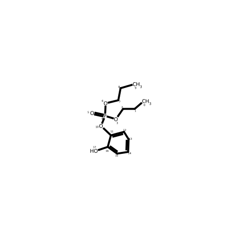 CCCOP(=O)(OCCC)Oc1ccccc1O